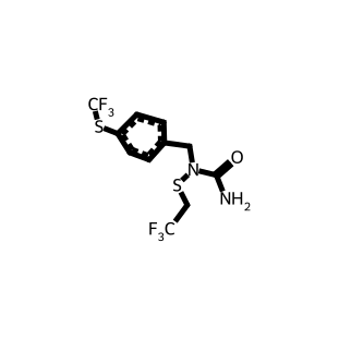 NC(=O)N(Cc1ccc(SC(F)(F)F)cc1)SCC(F)(F)F